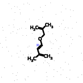 C=C(C)/C=C/OCC(=C)C